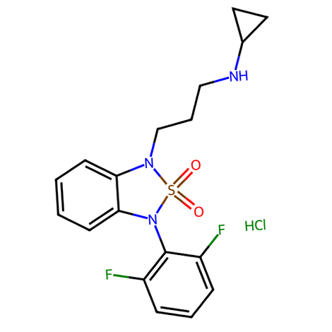 Cl.O=S1(=O)N(CCCNC2CC2)c2ccccc2N1c1c(F)cccc1F